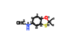 CC1(C)Oc2ccc(NC=O)cc2S1